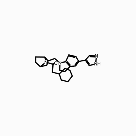 O=C(CC1CCCCC1)N1C2CCC1C(CN1CCc3cc(-c4cn[nH]c4)ccc31)C2